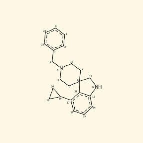 c1ccc(CN2CCC3(CC2)CNc2cccc(C4CC4)c23)cc1